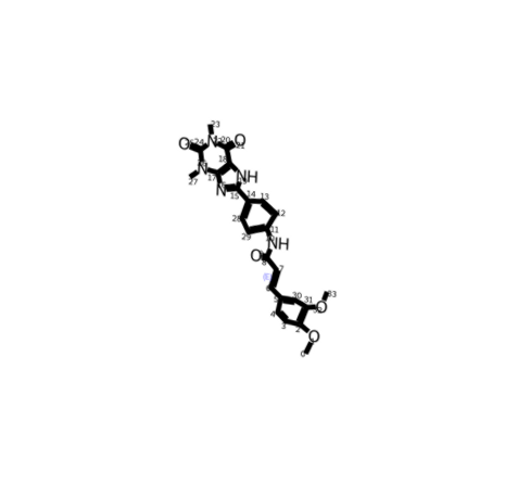 COc1ccc(/C=C/C(=O)Nc2ccc(-c3nc4c([nH]3)c(=O)n(C)c(=O)n4C)cc2)cc1OC